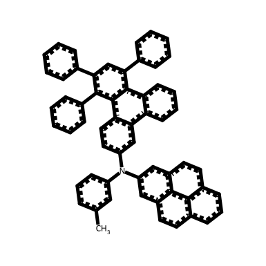 Cc1cccc(N(c2cc3ccc4cccc5ccc(c2)c3c45)c2ccc3c(c2)c2ccccc2c2c(-c4ccccc4)cc(-c4ccccc4)c(-c4ccccc4)c32)c1